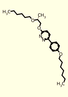 CCCCCCCOc1ccc(-c2ccc(OC[C@@H](C)OCCCCCC)nn2)cc1